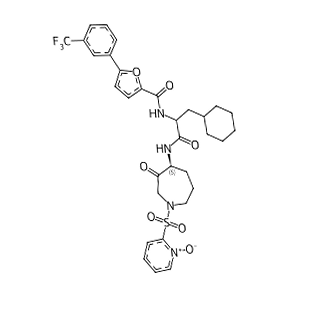 O=C(NC(CC1CCCCC1)C(=O)N[C@H]1CCCN(S(=O)(=O)c2cccc[n+]2[O-])CC1=O)c1ccc(-c2cccc(C(F)(F)F)c2)o1